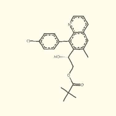 Cc1cc2cccnc2c(-c2ccc(Cl)cc2)c1[C@@H](O)COC(=O)C(C)(C)C